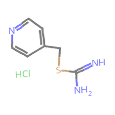 Cl.N=C(N)SCc1ccncc1